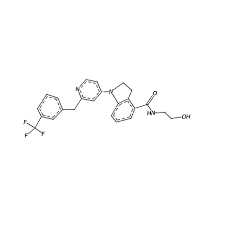 O=C(NCCO)c1cccc2c1CCN2c1ccnc(Cc2cccc(C(F)(F)F)c2)c1